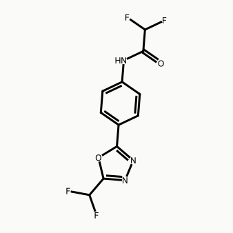 O=C(Nc1ccc(-c2nnc(C(F)F)o2)cc1)C(F)F